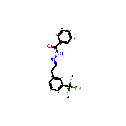 O=C(NN=CCc1cccc(C(F)(F)F)c1)c1ccccc1